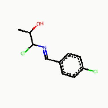 CC(O)C(Cl)N=Cc1ccc(Cl)cc1